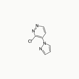 Clc1nnccc1-n1cccn1